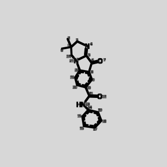 CC1(C)CN=C2C(=O)c3cc(C(=O)Nc4ccccc4)ccc3N2C1